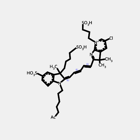 CC(=O)CCCCCN1/C(=C/C=C/C=C/C2=Nc3c(cc(Cl)c[n+]3CCCS(=O)(=O)O)C2(C)C)C(C)(CCCCS(=O)(=O)O)c2cc(S(=O)(=O)O)ccc21